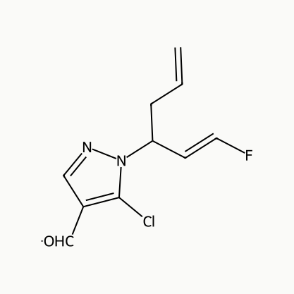 C=CCC(C=CF)n1ncc([C]=O)c1Cl